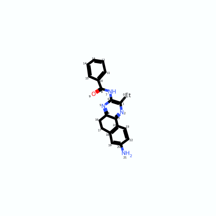 CCc1nc2c(nc1NC(=O)c1ccccc1)CCc1cc(N)ccc1-2